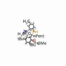 CCCCCC(C)(Pc1ccc(C)cc1/C=N/C)c1cc(C(C)(C)C)cc(C(C)(C)C)c1OCOC